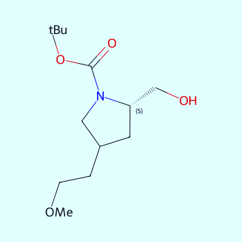 COCCC1C[C@@H](CO)N(C(=O)OC(C)(C)C)C1